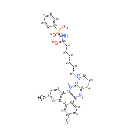 Cc1ccc(-c2nc3c(nc2-c2ccc(Cl)cc2)CCCN3CCCCCCC(=O)NS(=O)(=O)c2ccccc2)cc1